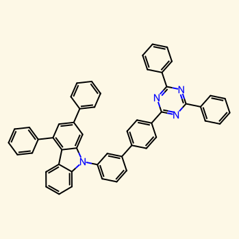 c1ccc(-c2cc(-c3ccccc3)c3c4ccccc4n(-c4cccc(-c5ccc(-c6nc(-c7ccccc7)nc(-c7ccccc7)n6)cc5)c4)c3c2)cc1